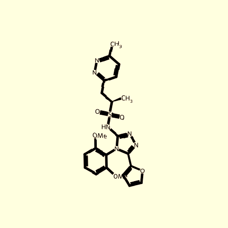 COc1cccc(OC)c1-n1c(NS(=O)(=O)[C@H](C)Cc2ccc(C)nn2)nnc1-c1ccco1